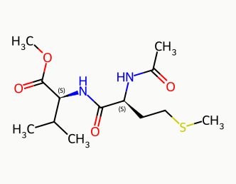 COC(=O)[C@@H](NC(=O)[C@H](CCSC)NC(C)=O)C(C)C